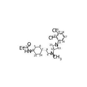 CCC(=O)N[C@H]1CC[C@H](CCN(C)C2CN(c3cccc(Cl)c3Cl)C2)CC1